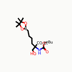 CCCCOC(=O)NC(CO)(CCCCB1OC(C)(C)C(C)(C)O1)C(=O)OCC